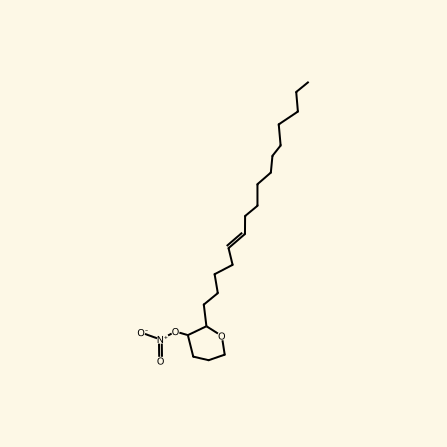 CCCCCCCCCCC=CCCCCC1OCCCC1O[N+](=O)[O-]